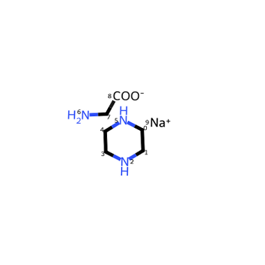 C1CNCCN1.NCC(=O)[O-].[Na+]